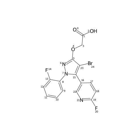 O=C(O)COc1nn(-c2ccccc2F)c(-c2ccc(F)nc2)c1Br